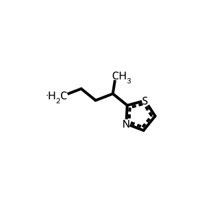 [CH2]CCC(C)c1nccs1